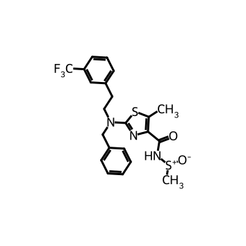 Cc1sc(N(CCc2cccc(C(F)(F)F)c2)Cc2ccccc2)nc1C(=O)N[S+](C)[O-]